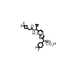 O=C(O)N[C@H](c1cn2ccc([C@@H](NC(=O)CC3CC(F)(F)C3)C3CC3)nc2n1)C1CCC(F)(F)CC1